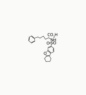 O=C(O)[C@@H](CCCCc1ccccc1)NS(=O)(=O)c1ccc2c3c(oc2c1)CCCC3